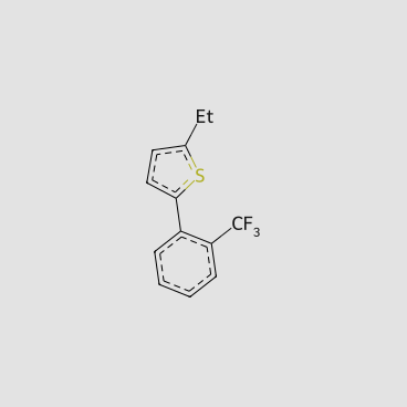 CCc1ccc(-c2ccccc2C(F)(F)F)s1